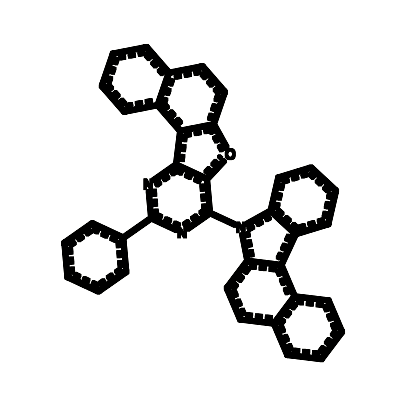 c1ccc(-c2nc(-n3c4ccccc4c4c5ccccc5ccc43)c3oc4ccc5ccccc5c4c3n2)cc1